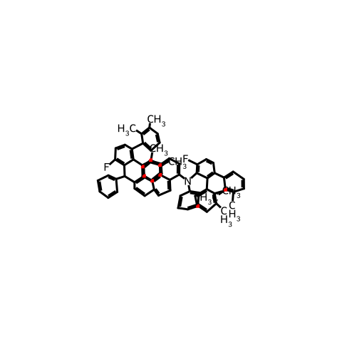 Cc1cccc(-c2ccc(F)c(C(c3ccccc3)c3ccc4ccc5c(N(c6ccccc6)c6c(F)ccc(-c7cccc(C)c7C)c6-c6cccc(C)c6C)ccc6ccc3c4c65)c2-c2cccc(C)c2C)c1C